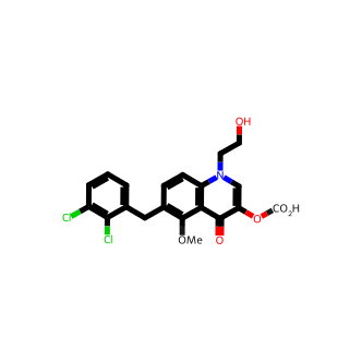 COc1c(Cc2cccc(Cl)c2Cl)ccc2c1c(=O)c(OC(=O)O)cn2CCO